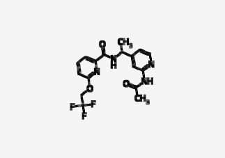 CC(=O)Nc1cc(C(C)NC(=O)c2cccc(OCC(F)(F)F)n2)ccn1